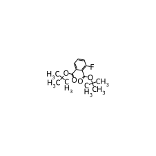 CC(C)(C)OC(=O)c1cccc(F)c1C(=O)OC(C)(C)C